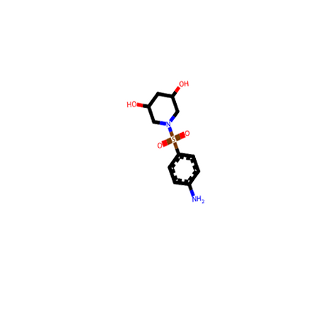 Nc1ccc(S(=O)(=O)N2CC(O)CC(O)C2)cc1